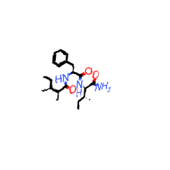 CC[C@@H](C)[C@H](NC(=O)[C@H](Cc1ccccc1)NC(=O)[C@@H](C)[C@@H](C)CC)C(N)=O